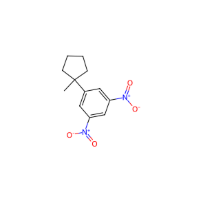 CC1(c2cc([N+](=O)[O-])cc([N+](=O)[O-])c2)CCCC1